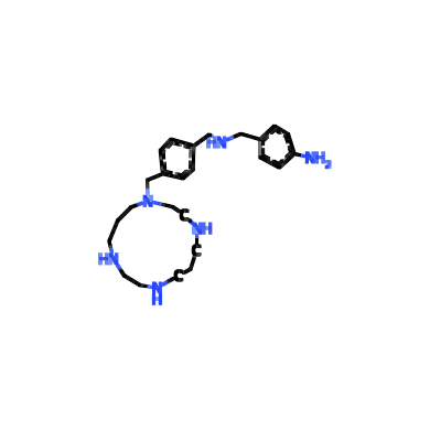 Nc1ccc(CNCc2ccc(CN3CCCNCCNCCCNCC3)cc2)cc1